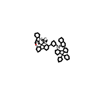 c1ccc(C2(c3ccccc3)c3ccccc3-c3c(N(c4cccc(-c5ccc6c(c5)C5(c7ccccc7-6)c6ccccc6-n6c7ccccc7c7cccc5c76)c4)c4cccc5ccccc45)cccc32)cc1